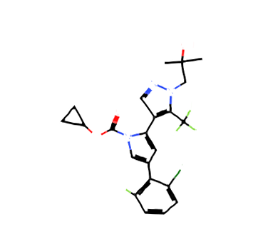 CC(C)(O)Cn1ncc(-c2cc(-c3c(F)cccc3Cl)cn2C(=O)OC2CC2)c1C(F)(F)F